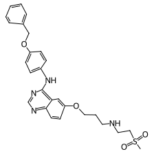 CS(=O)(=O)CCNCCCOc1ccc2ncnc(Nc3ccc(OCc4ccccc4)cc3)c2c1